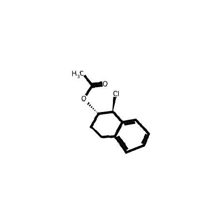 CC(=O)O[C@H]1CCc2ccccc2[C@@H]1Cl